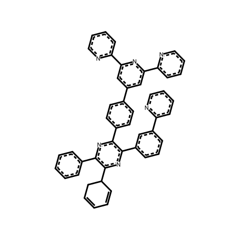 C1=CCC(c2nc(-c3cccc(-c4ccccn4)c3)c(-c3ccc(-c4cc(-c5ccccn5)nc(-c5ccccn5)c4)cc3)nc2-c2ccccc2)C=C1